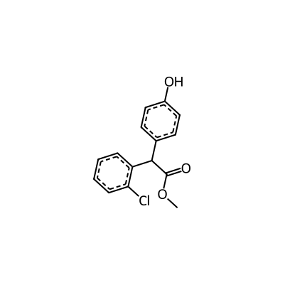 COC(=O)C(c1ccc(O)cc1)c1ccccc1Cl